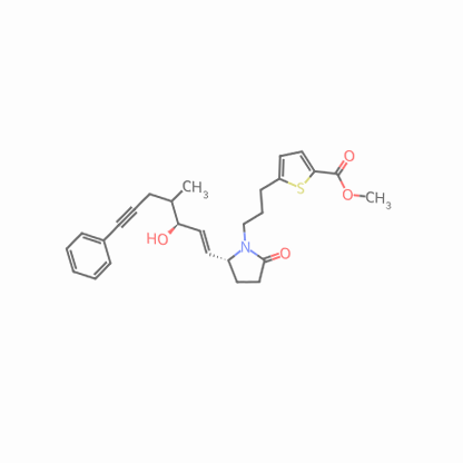 COC(=O)c1ccc(CCCN2C(=O)CC[C@@H]2/C=C/[C@@H](O)C(C)CC#Cc2ccccc2)s1